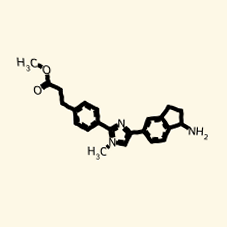 COC(=O)CCc1ccc(-c2nc(-c3ccc4c(c3)CCC4N)cn2C)cc1